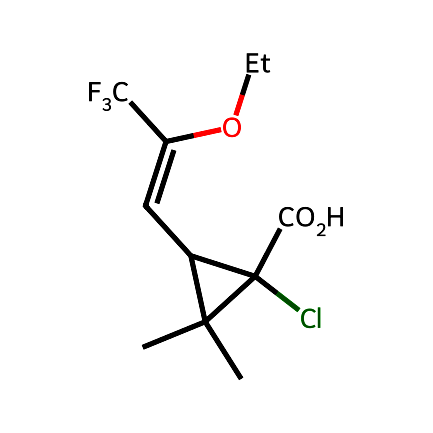 CCOC(=CC1C(C)(C)C1(Cl)C(=O)O)C(F)(F)F